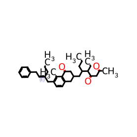 CCC/C(=C\Cc1ccccc1)Cc1ccc2c(c1C)C(=O)CC(CC(CCC)C(CC)C(=O)CC(C)=O)C2